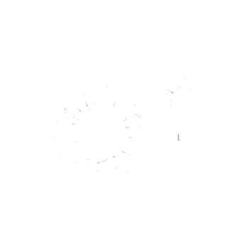 C=CCOC1CC(C=C(C)C2OC(=O)C3CCCCN3C(=O)C(=O)C3(O)OC(C(OC)CC(C)C/C(C)=C/C(CC)C(=O)CCC2C)C(OC)CC3C)CCC1NC(=O)C1CC1